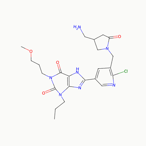 CCCn1c(=O)n(CCCOC)c(=O)c2[nH]c(-c3cnc(Cl)c(CN4CC(CN)CC4=O)c3)nc21